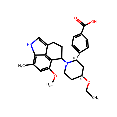 CCO[C@H]1CCN(C2CCc3c[nH]c4c(C)cc(OC)c2c34)[C@H](c2ccc(C(=O)O)cc2)C1